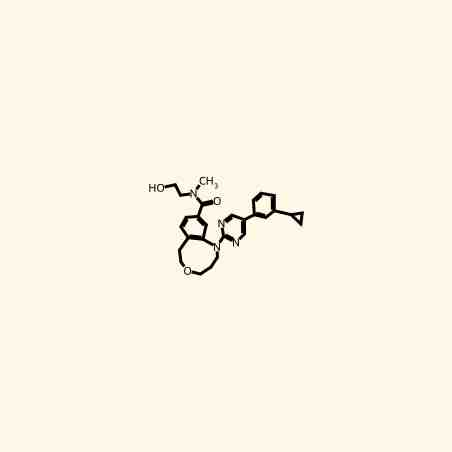 CN(CCO)C(=O)c1ccc2c(c1)N(c1ncc(-c3cccc(C4CC4)c3)cn1)CCCOCC2